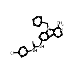 Cc1nccc2c3cc(NC(=S)Nc4ccc(Cl)cc4)ccc3n(Cc3ccccc3)c12